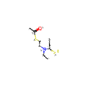 CCN(CCSC(C)=O)C(C)S